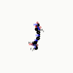 Cn1c(=O)n(C2CCC(=O)NC2=O)c2cccc(C3CCC(CNCC4CCC(n5cc6cc(NC(=O)c7cccc(C(F)(F)F)n7)c(C(C)(C)O)cc6n5)CC4)CC3)c21